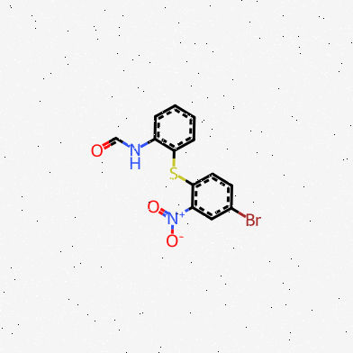 O=CNc1ccccc1Sc1ccc(Br)cc1[N+](=O)[O-]